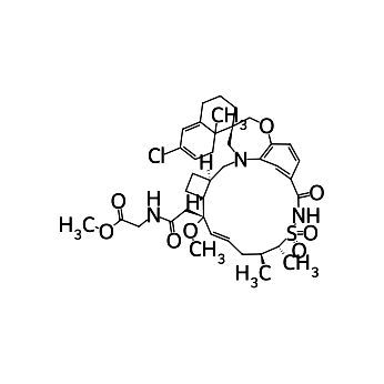 COC(=O)CNC(=O)C[C@]1(OC)/C=C/C[C@H](C)[C@@H](C)S(=O)(=O)NC(=O)c2ccc3c(c2)N(C[C@@H]2CC[C@H]21)C[C@@]1(CCCC2=CC(Cl)=CCC21C)CO3